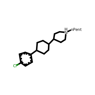 CCCCC[SiH]1CCC(C2CCC(c3ccc(Cl)cc3)CC2)CC1